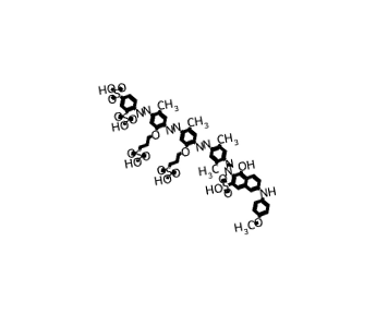 COc1ccc(Nc2ccc3c(O)c(N=Nc4cc(C)c(N=Nc5cc(C)c(N=Nc6cc(C)c(N=Nc7ccc(S(=O)(=O)O)cc7S(=O)(=O)O)cc6OCCCS(=O)(=O)O)cc5OCCCS(=O)(=O)O)cc4C)c(S(=O)(=O)O)cc3c2)cc1